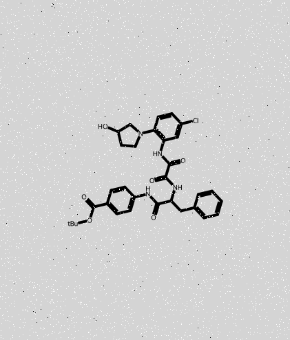 CC(C)(C)OC(=O)c1ccc(NC(=O)C(Cc2ccccc2)NC(=O)C(=O)Nc2cc(Cl)ccc2N2CCC(O)C2)cc1